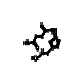 CNCc1cc[nH]c1.O=C(O)/C=C/C(=O)O